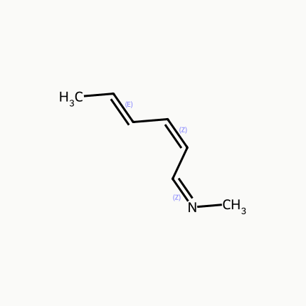 C/C=C/C=C\C=N/C